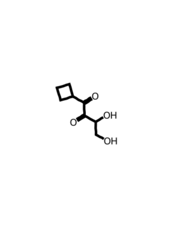 O=C(C(=O)C1CCC1)C(O)CO